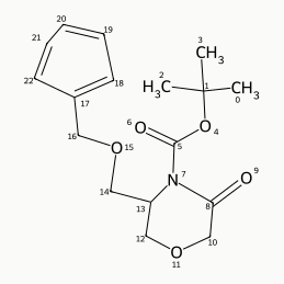 CC(C)(C)OC(=O)N1C(=O)COCC1COCc1ccccc1